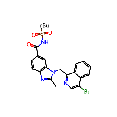 CCCCS(=O)(=O)NC(=O)c1ccc2nc(C)n(Cc3ncc(Br)c4ccccc34)c2c1